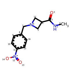 CNC(=O)C1CN(Cc2ccc([N+](=O)[O-])cc2)C1